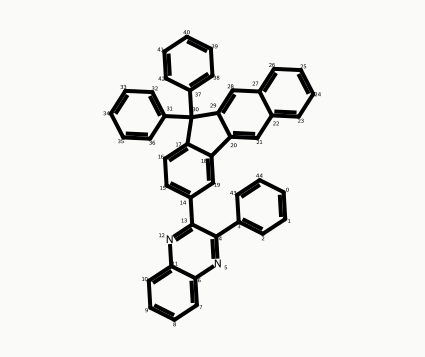 c1ccc(-c2nc3ccccc3nc2-c2ccc3c(c2)-c2cc4ccccc4cc2C3(c2ccccc2)c2ccccc2)cc1